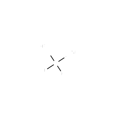 F.F[B-](F)(F)F.N